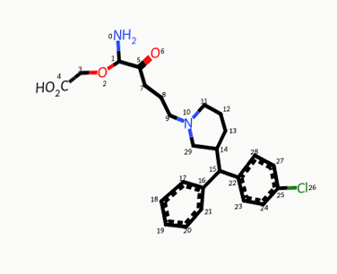 NC(OCC(=O)O)C(=O)CCCN1CCCC(C(c2ccccc2)c2ccc(Cl)cc2)C1